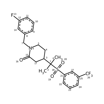 CC(C)(C1CCN(Cc2cccc(F)c2)C(=O)C1)S(=O)(=O)c1cccc(C(F)(F)F)c1